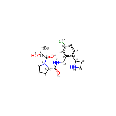 CC(C)(C)[C@@H](O)C(=O)N1CCC[C@H]1C(=O)NCc1cc(Cl)ccc1C1CCN1